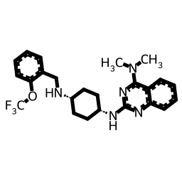 CN(C)c1nc(N[C@H]2CC[C@@H](NCc3ccccc3OC(F)(F)F)CC2)nc2ccccc12